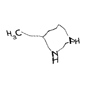 CC1CPN1